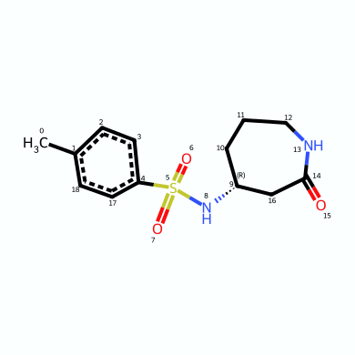 Cc1ccc(S(=O)(=O)N[C@@H]2CCCNC(=O)C2)cc1